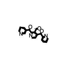 O=[C]c1c(C(=O)c2ccccn2)ccnc1C(=O)c1cccnc1